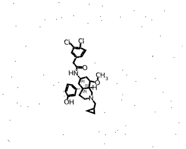 COC1C[C@H](NC(=O)Cc2ccc(Cl)c(Cl)c2)C[C@]2(c3cccc(O)c3)CCN(CC3CC3)C[C@@H]12